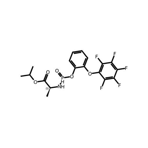 CC(C)OC(=O)[C@H](C)N[PH](=O)Oc1ccccc1Oc1c(F)c(F)c(F)c(F)c1F